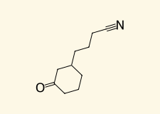 N#CCCCC1CCCC(=O)C1